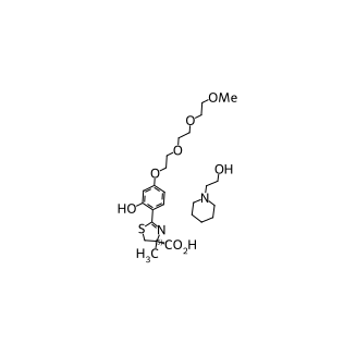 COCCOCCOCCOc1ccc(C2=N[C@@](C)(C(=O)O)CS2)c(O)c1.OCCN1CCCCC1